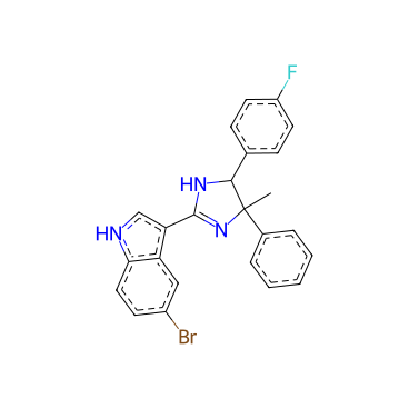 CC1(c2ccccc2)N=C(c2c[nH]c3ccc(Br)cc23)NC1c1ccc(F)cc1